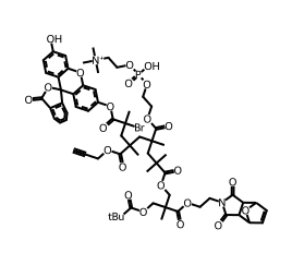 C#CCOC(=O)C(C)(CC(C)(Br)C(=O)Oc1ccc2c(c1)Oc1cc(O)ccc1C21OC(=O)c2ccccc21)CC(C)(CC(C)(C)C(=O)OCC(C)(COC(=O)C(C)(C)C)C(=O)OCCN1C(=O)C2C3C=CC(O3)C2C1=O)C(=O)OCCOP(=O)(O)OCC[N+](C)(C)C